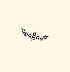 Cc1ccc(-c2nnc(-c3ccc(-c4c5ccccc5c(-c5ccc(-c6nnc(-c7ccc(C)cc7)o6)cc5)c5ccccc45)cc3)o2)cc1